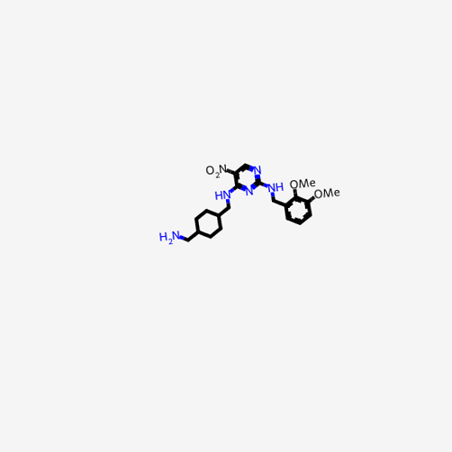 COc1cccc(CNc2ncc([N+](=O)[O-])c(NCC3CCC(CN)CC3)n2)c1OC